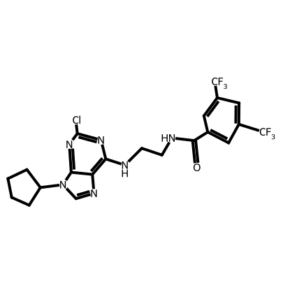 O=C(NCCNc1nc(Cl)nc2c1ncn2C1CCCC1)c1cc(C(F)(F)F)cc(C(F)(F)F)c1